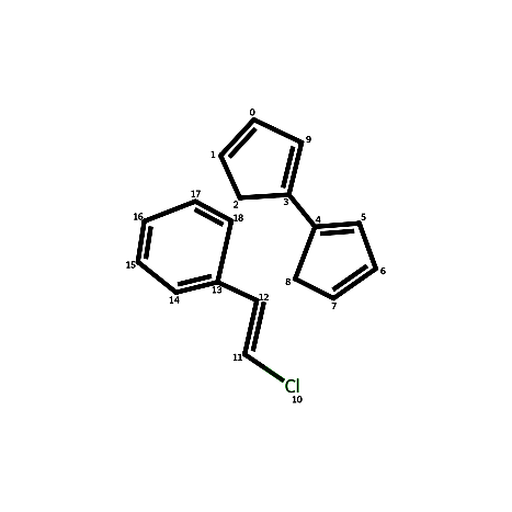 C1=CCC(C2=CC=CC2)=C1.ClC=Cc1ccccc1